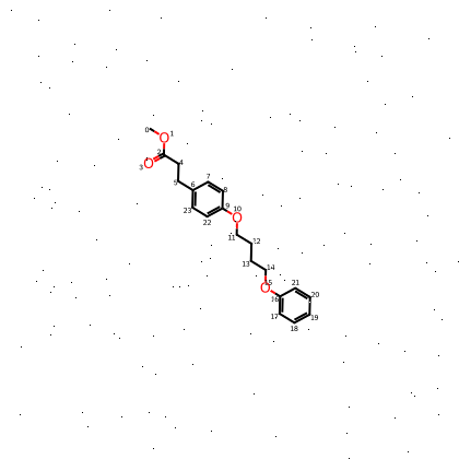 COC(=O)CCc1ccc(OCCCCOc2ccccc2)cc1